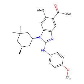 COC(=O)c1cc2nc(Nc3ccc(OC(F)(F)F)cc3)n([C@H]3C[C@@H](C)CC(C)(C)C3)c2cc1OC